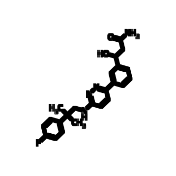 CC(C)(CNc1ccc(-c2cccc(C(O)CC(N)=O)c2)nn1)c1ccc(F)cc1